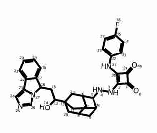 O=c1c(NNC2C3CC4CC2CC(C(O)CC2c5ccccc5-c5cncn52)(C4)C3)c(Nc2ccc(F)cc2)c1=O